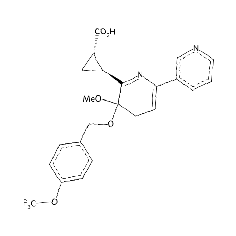 COC1(OCc2ccc(OC(F)(F)F)cc2)CC=C(c2cccnc2)N=C1[C@H]1C[C@@H]1C(=O)O